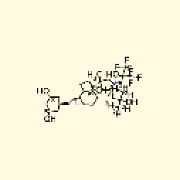 [2H]C([2H])([2H])C(O)(CCCC(C)(C/C=C\C(O)(C(F)(F)F)C(F)(F)F)[C@H]1CCC2/C(=C/C=C3C[C@@H](O)C[C@H](O)C3)CCC[C@@]21C)C([2H])([2H])[2H]